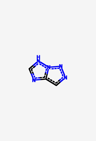 c1nc2cnnn2[nH]1